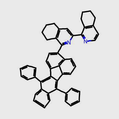 c1ccc(-c2c3c(c(-c4ccccc4)c4ccccc24)-c2ccc(-c4nc(-c5nccc6c5CCCC6)cc5c4CCCC5)c4cccc-3c24)cc1